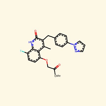 COC(=O)COc1ccc(F)c2[nH]c(=O)c(Cc3ccc(-n4cccn4)cc3)c(C)c12